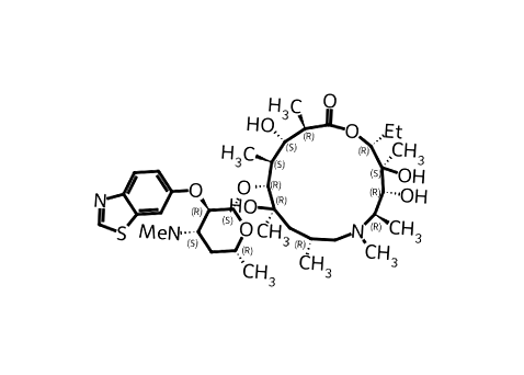 CC[C@H]1OC(=O)[C@H](C)[C@@H](O)[C@H](C)[C@@H](O[C@@H]2O[C@H](C)C[C@H](NC)[C@H]2Oc2ccc3ncsc3c2)[C@](C)(O)C[C@@H](C)CN(C)[C@H](C)[C@@H](O)[C@]1(C)O